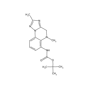 Cc1nc2n(n1)-c1cccc(NC(=O)OC(C)(C)C)c1N(C)C2